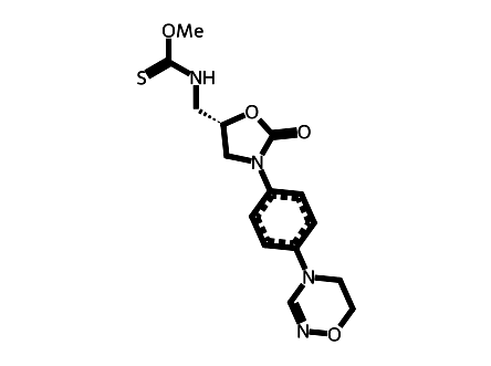 COC(=S)NC[C@H]1CN(c2ccc(N3C=NOCC3)cc2)C(=O)O1